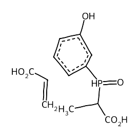 C=CC(=O)O.CC(C(=O)O)[PH](=O)c1cccc(O)c1